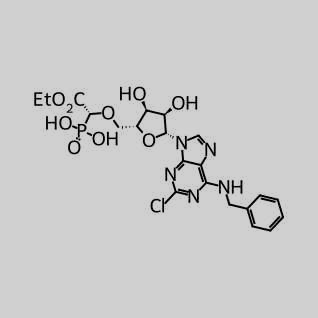 CCOC(=O)[C@H](OC[C@H]1O[C@@H](n2cnc3c(NCc4ccccc4)nc(Cl)nc32)[C@H](O)[C@@H]1O)P(=O)(O)O